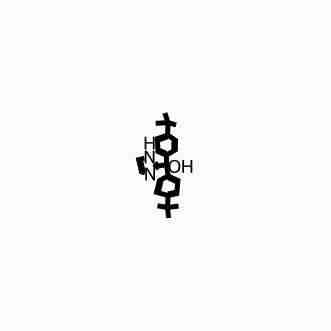 CC(C)(C)c1ccc(C(O)(c2ccc(C(C)(C)C)cc2)c2ncc[nH]2)cc1